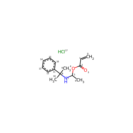 C=CC(=O)OC(C)NC(C)(C)c1ccccc1.Cl